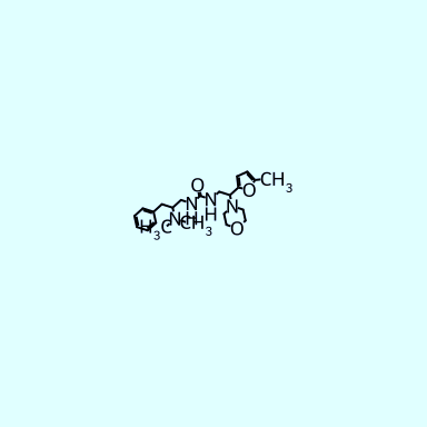 Cc1ccc(C(CNC(=O)NCC(Cc2ccccc2)N(C)C)N2CCOCC2)o1